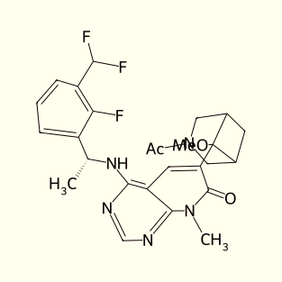 COC1(c2cc3c(N[C@H](C)c4cccc(C(F)F)c4F)ncnc3n(C)c2=O)C2CC1CN(C(C)=O)C2